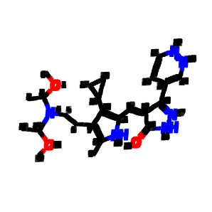 COC(C)N(CCc1c(C)[nH]c(C=C2C(=O)NN=C2c2ccnnc2)c1C1CC1)C(C)OC